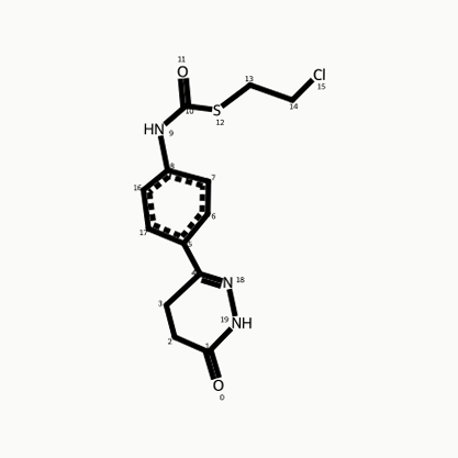 O=C1CCC(c2ccc(NC(=O)SCCCl)cc2)=NN1